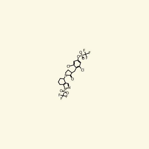 O=C1C(Cc2c(Cl)cc(OS(=O)(=O)C(F)(F)F)cc2Cl)CCN1C1CCCc2c1cnn2S(=O)(=O)C(F)(F)F